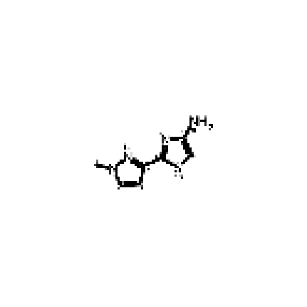 Cn1ccc(-c2nc(N)cs2)n1